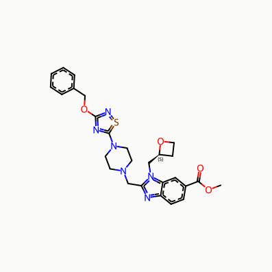 COC(=O)c1ccc2nc(CN3CCN(c4nc(OCc5ccccc5)ns4)CC3)n(C[C@@H]3CCO3)c2c1